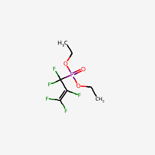 CCOP(=O)(OCC)C(F)(F)C(F)=C(F)F